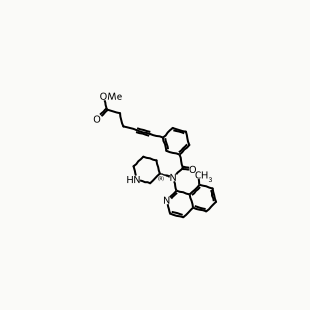 COC(=O)CCC#Cc1cccc(C(=O)N(c2nccc3cccc(C)c23)[C@@H]2CCCNC2)c1